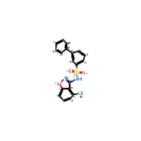 O=S(=O)(Nc1noc2cccc(Cl)c12)c1cccc(-c2ccccc2)c1